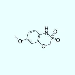 COc1ccc2c(c1)OCS(=O)(=O)N2